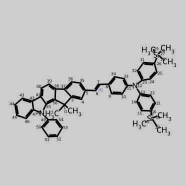 CC1(C)c2cc(/C=C/c3ccc(N(c4ccc([Si](C)(C)C)cc4)c4ccc([Si](C)(C)C)cc4)cc3)ccc2-c2ccc3c4ccccc4n(-c4ccccc4)c3c21